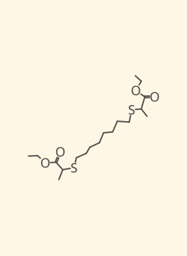 CCOC(=O)C(C)SCCCCCCCCSC(C)C(=O)OCC